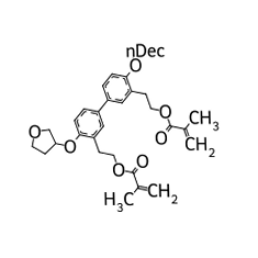 C=C(C)C(=O)OCCc1cc(-c2ccc(OC3CCOC3)c(CCOC(=O)C(=C)C)c2)ccc1OCCCCCCCCCC